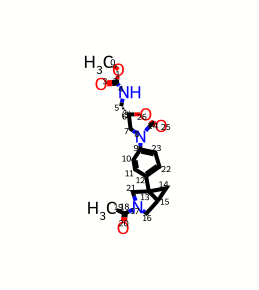 COC(=O)NC[C@H]1CN(c2ccc(C34CC3CN(C(C)=O)C4)cc2)C(=O)O1